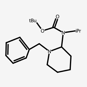 CC(C)N(C(=O)OC(C)(C)C)C1CCCCN1Cc1ccccc1